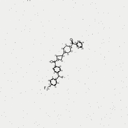 O=C(c1ccc(C(F)c2ccc(C(F)(F)F)cc2)cc1)N1CC(N2CCN(C(=O)c3nccs3)CC2)C1